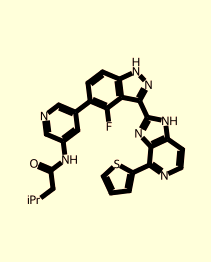 CC(C)CC(=O)Nc1cncc(-c2ccc3[nH]nc(-c4nc5c(-c6cccs6)nccc5[nH]4)c3c2F)c1